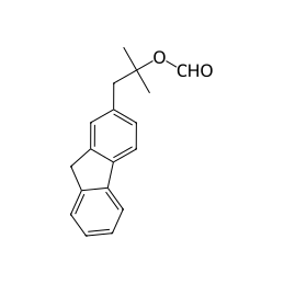 CC(C)(Cc1ccc2c(c1)Cc1ccccc1-2)OC=O